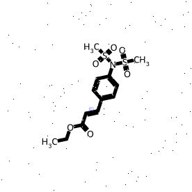 CCOC(=O)/C=C/c1ccc(N(S(C)(=O)=O)S(C)(=O)=O)cc1